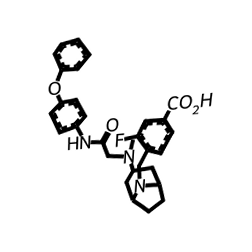 CN(CC(=O)Nc1ccc(Oc2ccccc2)cc1)C1CC2CCC(C1)N2Cc1ccc(C(=O)O)cc1F